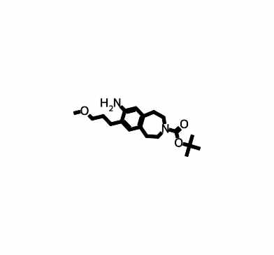 COCCCc1cc2c(cc1N)CCN(C(=O)OC(C)(C)C)CC2